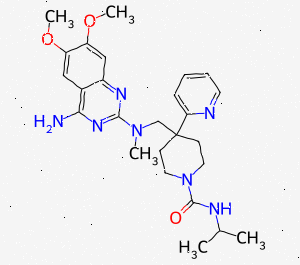 COc1cc2nc(N(C)CC3(c4ccccn4)CCN(C(=O)NC(C)C)CC3)nc(N)c2cc1OC